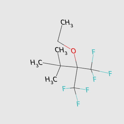 CCOC(C(C)(C)C)(C(F)(F)F)C(F)(F)F